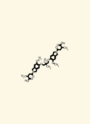 COc1cc2c(cc1OCC(C)(C)COc1cc3c(cc1OC)CN(C(=O)CC(C)C(=O)O)C3)CN(C(=O)CC(C)C(=O)O)C2